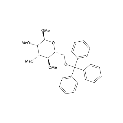 CO[C@H]1O[C@H](COC(c2ccccc2)(c2ccccc2)c2ccccc2)[C@@H](OC)[C@H](OC)[C@@H]1OC